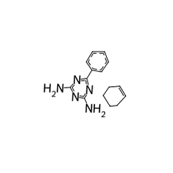 C1=CCCCC1.Nc1nc(N)nc(-c2ccccc2)n1